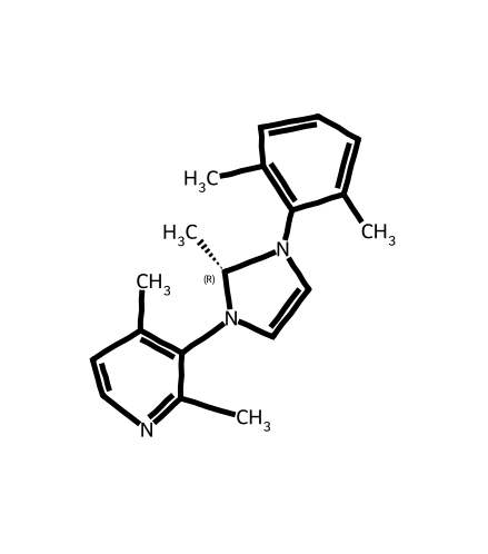 Cc1cccc(C)c1N1C=CN(c2c(C)ccnc2C)[C@@H]1C